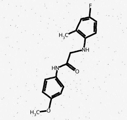 COc1ccc(NC(=O)CNc2ccc(F)cc2C)cc1